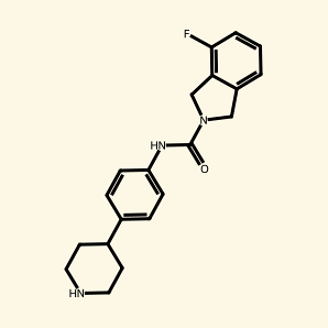 O=C(Nc1ccc(C2CCNCC2)cc1)N1Cc2cccc(F)c2C1